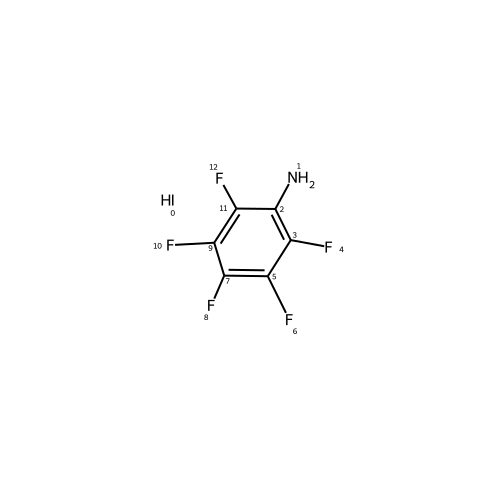 I.Nc1c(F)c(F)c(F)c(F)c1F